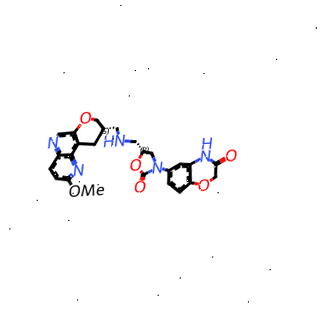 COc1ccc2ncc3c(c2n1)C[C@@H](CNC[C@@H]1CN(c2ccc4c(c2)NC(=O)CO4)C(=O)O1)CO3